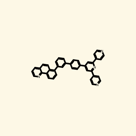 c1cc(-c2ccc(-c3cc(-c4ccncc4)nc(-c4ccncc4)c3)cc2)cc(-c2cccc3c2ccc2cccnc23)c1